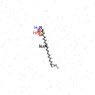 CCCCCCCCCCCCCCCCCCCC(CN)S(=O)(=O)O.[NaH]